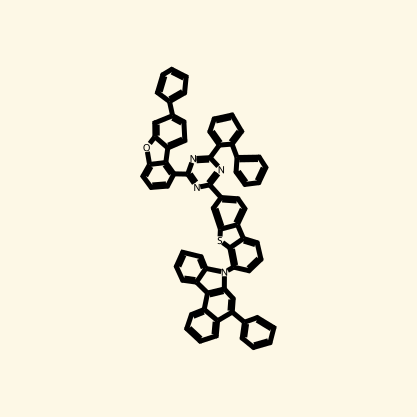 c1ccc(-c2ccc3c(c2)oc2cccc(-c4nc(-c5ccc6c(c5)sc5c(-n7c8ccccc8c8c9ccccc9c(-c9ccccc9)cc87)cccc56)nc(-c5ccccc5-c5ccccc5)n4)c23)cc1